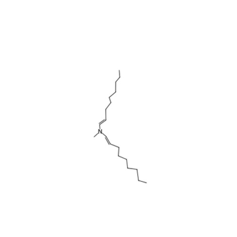 CCCCCCC/C=C/N(C)/C=C/CCCCCCC